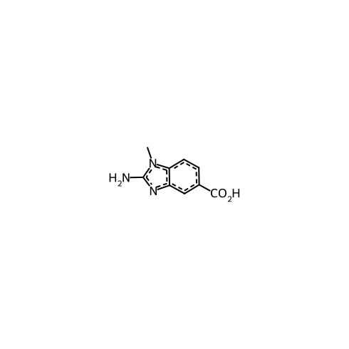 Cn1c(N)nc2cc(C(=O)O)ccc21